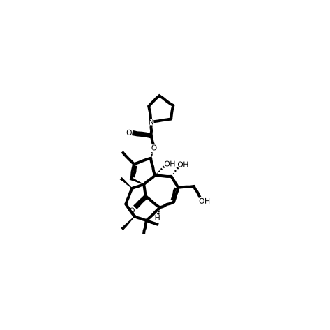 CC1=C[C@]23C(=O)[C@@H](C=C(CO)[C@@H](O)[C@]2(O)[C@H]1OC(=O)N1CCCC1)C(C)(C)[C@@H](C)C[C@H]3C